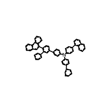 c1ccc(-c2ccc(N(c3ccc(-c4ccc(-c5cc6ccccc6c6ccccc56)c(-c5ccccc5)c4)cc3)c3ccc(-c4cccc5ccccc45)cc3)cc2)cc1